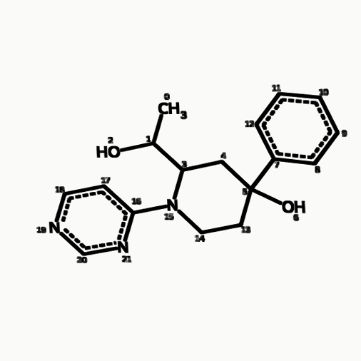 CC(O)C1CC(O)(c2ccccc2)CCN1c1ccncn1